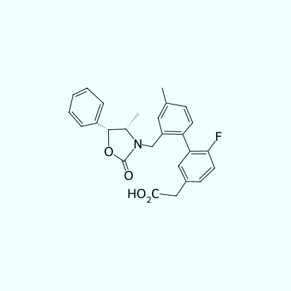 Cc1ccc(-c2cc(CC(=O)O)ccc2F)c(CN2C(=O)O[C@H](c3ccccc3)[C@@H]2C)c1